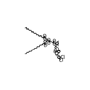 CCCCCCCCCCCCCCCC(=O)OCC(COC(=O)CCCCCCCCCCCCCCC)OC(=O)CCC(=O)Oc1cc(C)cc(C)c1C(C)(C)CC(=O)N(C)[C@H]1CC[C@@H](c2ccc(Cl)c(Cl)c2)c2ccccc21